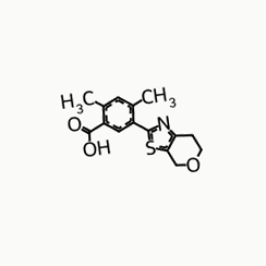 Cc1cc(C)c(-c2nc3c(s2)COCC3)cc1C(=O)O